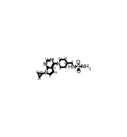 NS(=O)(=O)NCC1CCN(c2ncnc3c2ccn3C2CC2)CC1